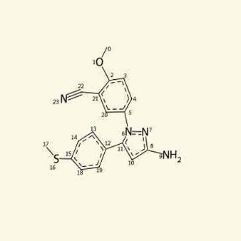 COc1ccc(-n2nc(N)cc2-c2ccc(SC)cc2)cc1C#N